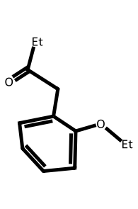 CCOc1ccccc1CC(=O)CC